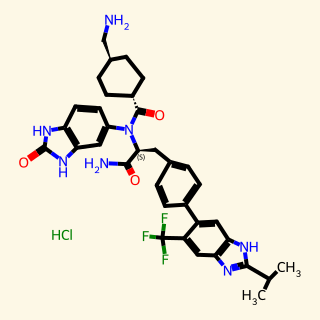 CC(C)c1nc2cc(C(F)(F)F)c(-c3ccc(C[C@@H](C(N)=O)N(c4ccc5[nH]c(=O)[nH]c5c4)C(=O)[C@H]4CC[C@H](CN)CC4)cc3)cc2[nH]1.Cl